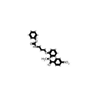 CN(C(=O)c1ccc([N+](=O)[O-])cc1)c1ccccc1OCCCNC(=O)Oc1ccccc1